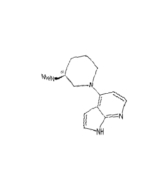 CN[C@H]1CCCN(c2ccnc3[nH]ccc23)C1